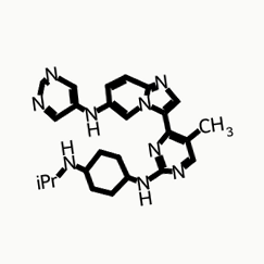 Cc1cnc(NC2CCC(NC(C)C)CC2)nc1-c1cnc2ccc(Nc3cncnc3)cn12